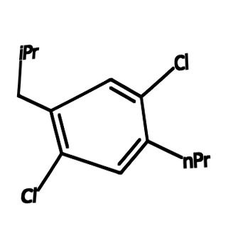 CCCc1cc(Cl)c(CC(C)C)cc1Cl